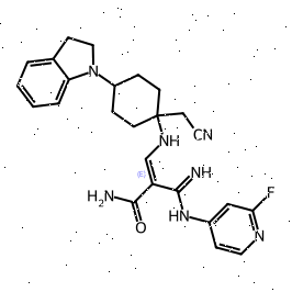 N#CCC1(N/C=C(\C(=N)Nc2ccnc(F)c2)C(N)=O)CCC(N2CCc3ccccc32)CC1